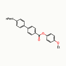 CCCCCc1ccc(-c2ccc(C(=O)Oc3ccc(OCC)cc3)cc2)cc1